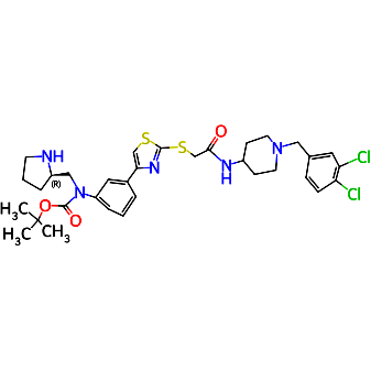 CC(C)(C)OC(=O)N(C[C@H]1CCCN1)c1cccc(-c2csc(SCC(=O)NC3CCN(Cc4ccc(Cl)c(Cl)c4)CC3)n2)c1